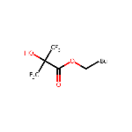 CCC(C)COC(=O)C(O)(C(F)(F)F)C(F)(F)F